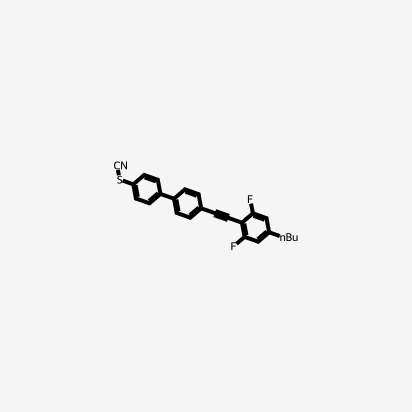 CCCCc1cc(F)c(C#Cc2ccc(-c3ccc(SC#N)cc3)cc2)c(F)c1